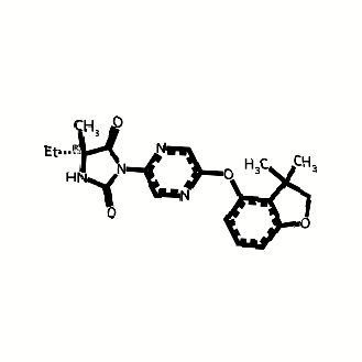 CC[C@@]1(C)NC(=O)N(c2cnc(Oc3cccc4c3C(C)(C)CO4)cn2)C1=O